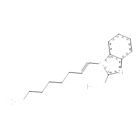 CCCCCCCCCCCCCCC/C=C/n1c(S(=O)(=O)O)nc2ccccc21